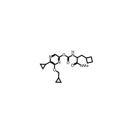 CNC(=O)C(CC1CCC1)NC(=O)Oc1cnc(C2CC2)c(OCC2CC2)n1